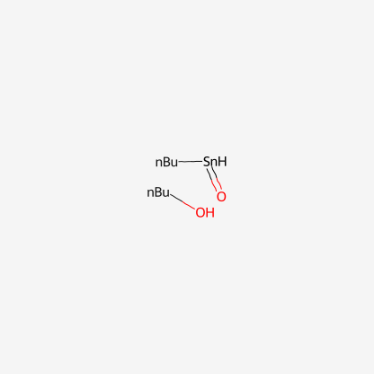 CCC[CH2][SnH]=[O].[CH2]CCCO